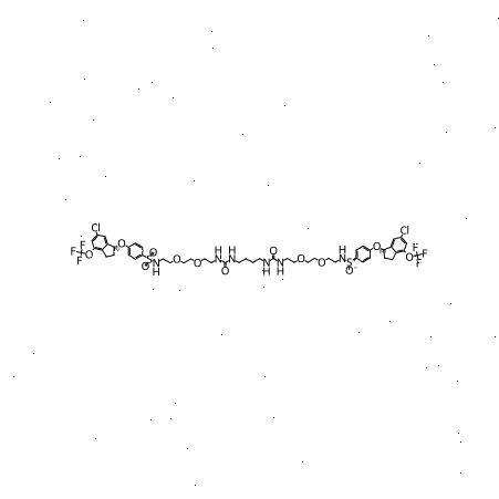 O=C(NCCCCNC(=O)NCCOCCOCCNS(=O)(=O)c1ccc(O[C@@H]2CCc3c(OC(F)(F)F)cc(Cl)cc32)cc1)NCCOCCOCCN[S+]([O-])c1ccc(O[C@@H]2CCc3c(OC(F)(F)F)cc(Cl)cc32)cc1